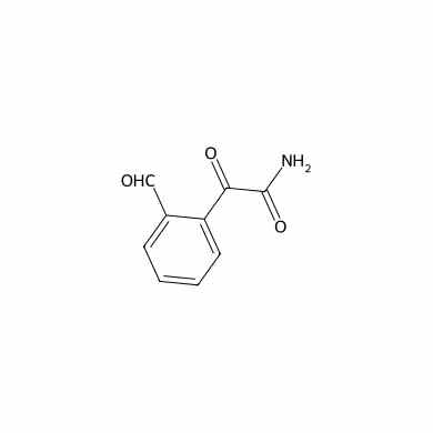 NC(=O)C(=O)c1ccccc1C=O